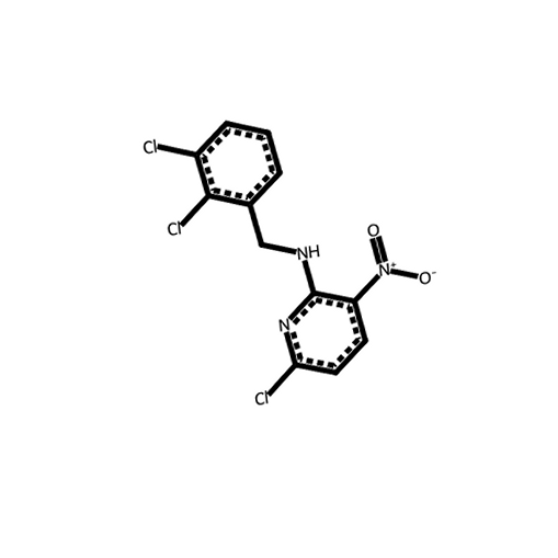 O=[N+]([O-])c1ccc(Cl)nc1NCc1cccc(Cl)c1Cl